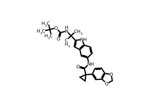 CC(C)(C)OC(=O)NC(C)(C)c1cc2cc(NC(=O)C3(c4ccc5c(c4)OCO5)CC3)ccc2[nH]1